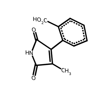 CC1=C(c2ccccc2C(=O)O)C(=O)NC1=O